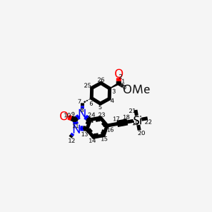 COC(=O)[C@H]1CC[C@H](Cn2c(=O)n(C)c3ccc(C#C[Si](C)(C)C)cc32)CC1